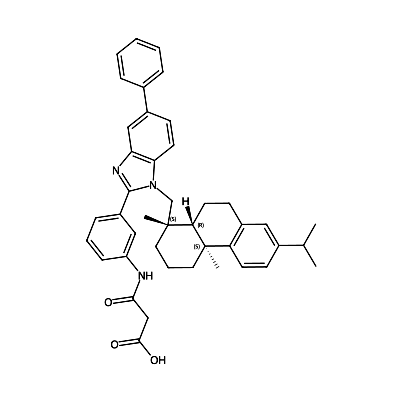 CC(C)c1ccc2c(c1)CC[C@H]1[C@@](C)(Cn3c(-c4cccc(NC(=O)CC(=O)O)c4)nc4cc(-c5ccccc5)ccc43)CCC[C@]21C